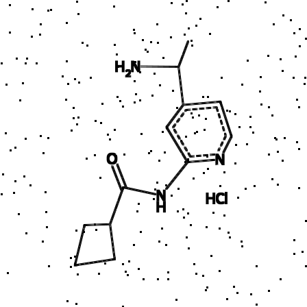 CC(N)c1ccnc(NC(=O)C2CCC2)c1.Cl